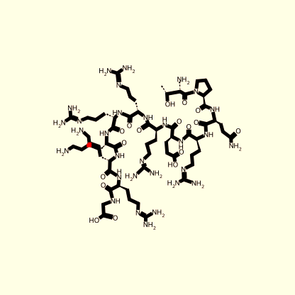 C[C@@H](O)[C@H](N)C(=O)N1CCC[C@H]1C(=O)N[C@@H](CCC(N)=O)C(=O)N[C@@H](CCCN=C(N)N)C(=O)N[C@@H](CCC(=O)O)C(=O)N[C@@H](CCCN=C(N)N)C(=O)N[C@@H](CCCN=C(N)N)C(=O)N[C@@H](CCCN=C(N)N)C(=O)N[C@@H](CCCCN)C(=O)N[C@@H](CCCCN)C(=O)N[C@@H](CCCN=C(N)N)C(=O)NCC(=O)O